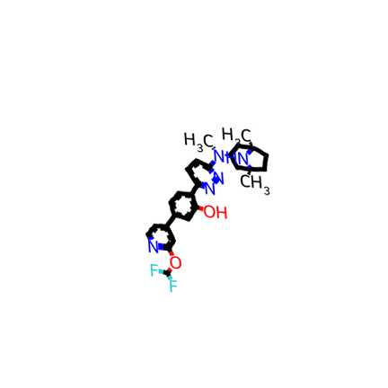 CN(c1ccc(-c2ccc(-c3ccnc(OC(F)F)c3)cc2O)nn1)[C@@H]1C[C@]2(C)CC[C@](C)(C1)N2